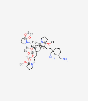 CCO[Si]1(OCC)CCCN1CCCC(CCCN1CCC[Si]1(OCC)OCC)(CCC(CCC1(CN)CCCC(CN)C1)[Si]1(OCC)CCCN1[Si](C)(C)C)[Si](OCC)(OCC)OCC